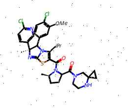 COc1cc(C2N3C(=N[C@@]2(C)c2ccc(Cl)nc2)SC(C(=O)N2C(C(=O)N4CCNC5(CC5)C4)CC[C@H]2C)=C3C(C)C)ccc1Cl